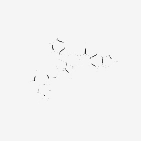 O=C(O)C1CC(F)(F)CN1C(=O)CN1CN(c2ccccc2)C2(CCN(C(=O)c3cnc4[nH]ncc4c3)CC2)C1=O